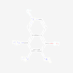 Nc1c(N)c(O)c2cc[n+]([O-])cc2c1N